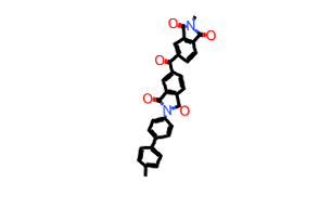 Cc1ccc(-c2ccc(N3C(=O)c4ccc(C(=O)c5ccc6c(c5)C(=O)N(C)C6=O)cc4C3=O)cc2)cc1